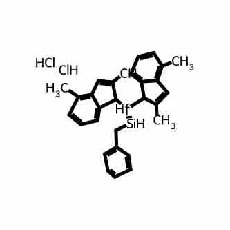 CC1=Cc2c(C)cccc2[CH]1[Hf](=[SiH]Cc1ccccc1)[CH]1C(C)=Cc2c(C)cccc21.Cl.Cl